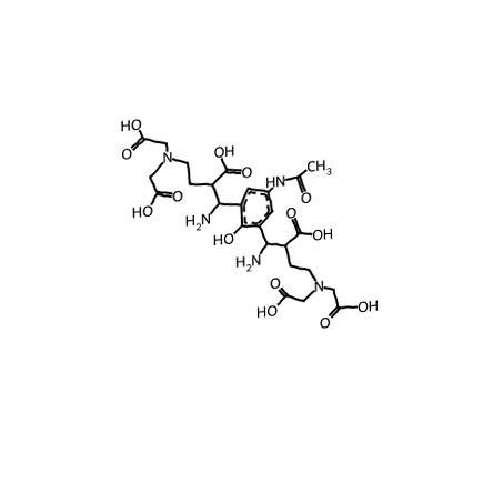 CC(=O)Nc1cc(C(N)C(CCN(CC(=O)O)CC(=O)O)C(=O)O)c(O)c(C(N)C(CCN(CC(=O)O)CC(=O)O)C(=O)O)c1